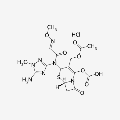 CON=CC(=O)N(c1nc(N)n(C)n1)C1S[C@H]2CC(=O)N2C(OC(=O)O)=C1COC(C)=O.Cl